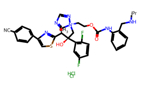 CC(C)NCc1ccccc1NC(=O)OCC[N+]1(C[C@](O)(c2cc(F)ccc2F)[C@@H](C)c2nc(-c3ccc(C#N)cc3)cs2)C=NC=N1.Cl.[Cl-]